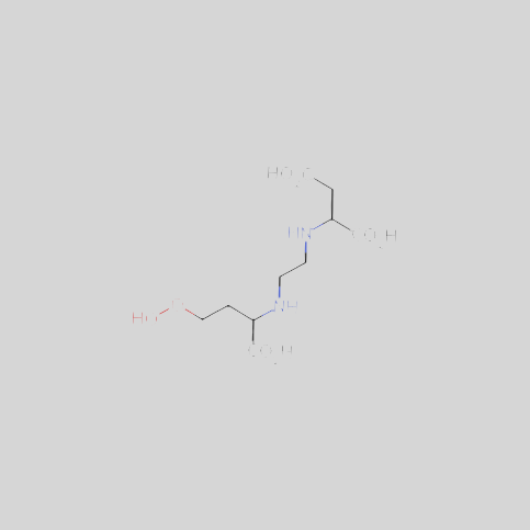 O=C(O)CC(NCCNC(CCOO)C(=O)O)C(=O)O